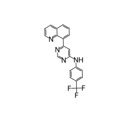 FC(F)(F)c1ccc(Nc2cc(-c3cccc4cccnc34)ncn2)cc1